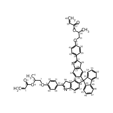 C=CC(=O)OC(C)COc1ccc(C2=Nc3ccc(C4(c5ccc6c(c5)CC(c5ccc(OCC(C)OC(=O)C=C)cc5)=N6)c5ccccc5-c5ccccc54)cc3C2)cc1